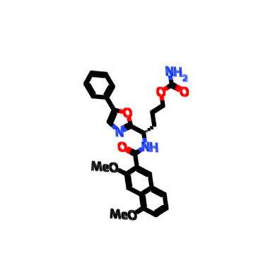 COc1cc2c(OC)cccc2cc1C(=O)N[C@@H](CCCOC(N)=O)c1ncc(-c2ccccc2)o1